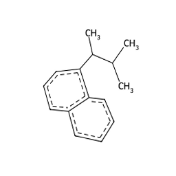 CC(C)C(C)c1cccc2ccccc12